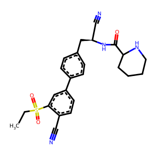 CCS(=O)(=O)c1cc(-c2ccc(C[C@@H](C#N)NC(=O)C3CCCCN3)cc2)ccc1C#N